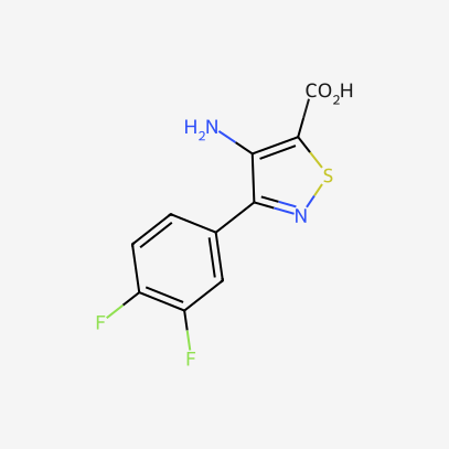 Nc1c(-c2ccc(F)c(F)c2)nsc1C(=O)O